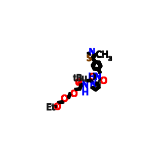 CCOCCOCCOCCC(=O)NC(C(=O)N1CCC[C@H]1C(=O)NCc1ccc(-c2scnc2C)cc1)C(C)(C)C